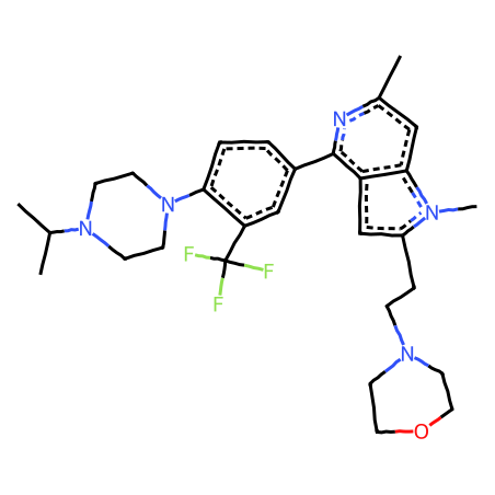 Cc1cc2c(cc(CCN3CCOCC3)n2C)c(-c2ccc(N3CCN(C(C)C)CC3)c(C(F)(F)F)c2)n1